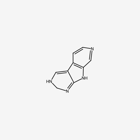 C1=c2c([nH]c3cnccc23)=NCN1